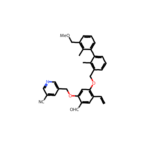 C=Cc1cc(C=O)c(OCc2cncc(C#N)c2)cc1OCc1cccc(-c2cccc(COC)c2C)c1C